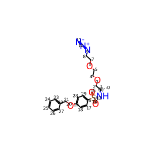 C[C@@H](COCCOCCN=[N+]=[N-])NS(=O)(=O)c1ccc(OCc2ccccc2)cc1